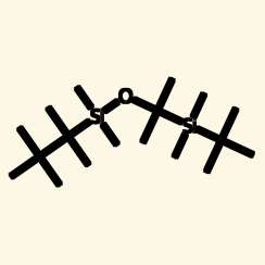 CC(C)(C)C(C)(C)[Si](C)(C)OC(C)(C)[Si](C)(C)C(C)(C)C